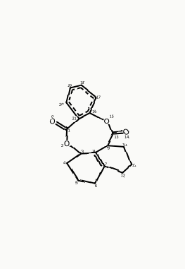 O=C1OC2CCCC3=C2C(CCC3)C(=O)Oc2ccccc21